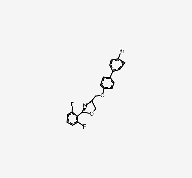 Fc1cccc(F)c1C1=NC(COc2ccc(-c3ccc(Br)cc3)cc2)CO1